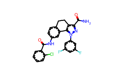 NC(=O)c1nn(-c2cc(F)cc(F)c2)c2c1CCc1ccc(NC(=O)c3ccccc3Cl)cc1-2